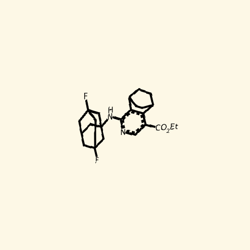 CCOC(=O)c1cnc(NC23CC4CC(F)(CC(F)(C4)C2)C3)c2c1C1CCC2CC1